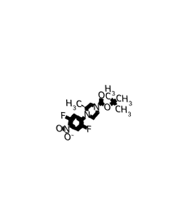 C[C@@H]1CN(C(=O)OC(C)(C)C)CCN1c1cc(F)c([N+](=O)[O-])cc1F